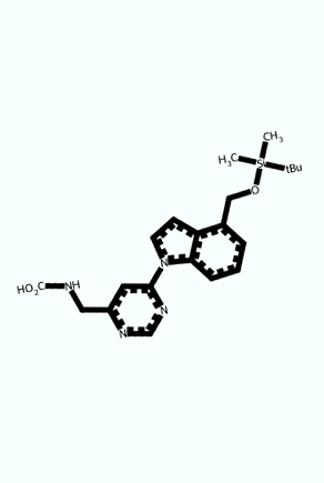 CC(C)(C)[Si](C)(C)OCc1cccc2c1ccn2-c1cc(CNC(=O)O)ncn1